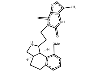 COc1cccc2c1[C@@H]1C(CCn3c(=O)[nH]c4c(C)csc4c3=O)NC[C@@H]1CC2